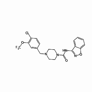 O=C(Nc1noc2ccccc12)N1CCN(Cc2ccc(Cl)c(OC(F)(F)F)c2)CC1